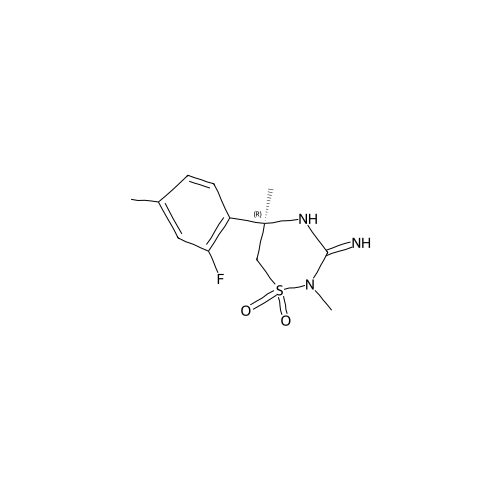 Cc1ccc([C@]2(C)CS(=O)(=O)N(C)C(=N)N2)c(F)c1